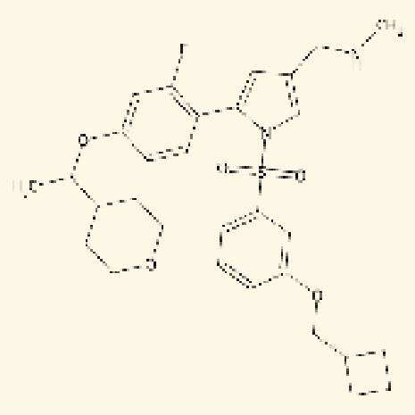 CNCc1cc(-c2ccc(OC(C)C3CCOCC3)cc2F)n(S(=O)(=O)c2cccc(OCC3CCC3)c2)c1